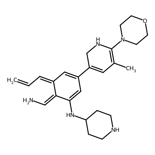 C=C/C=c1/cc(C2=CC(C)=C(N3CCOCC3)NC2)cc(NC2CCNCC2)/c1=C/N